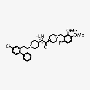 COc1ccc(F)c(CN2CCN(C(=O)[C@H](N)C3CCN(CCc4cc(Cl)ccc4-c4ccccc4)CC3)CC2)c1OC